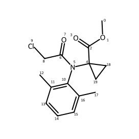 COC(=O)C1(N(C(=O)CCl)c2c(C)cccc2C)CC1